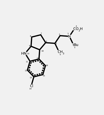 CC(CN(C(=O)O)C(C)(C)C)C1CCC2Nc3cc(Cl)ccc3C21